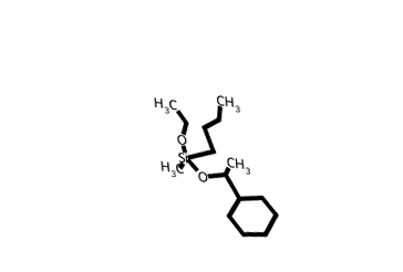 CCCC[Si](C)(OCC)OC(C)C1CCCCC1